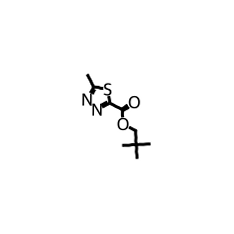 Cc1nnc(C(=O)OCC(C)(C)C)s1